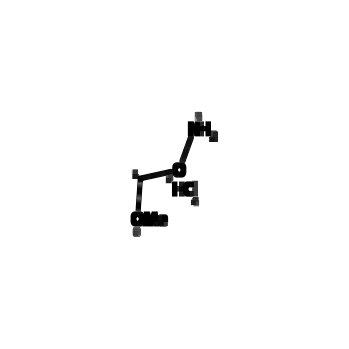 COCON.Cl